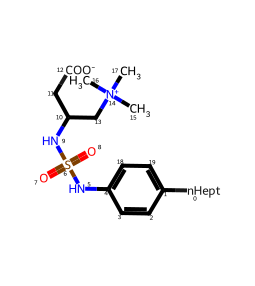 CCCCCCCc1ccc(NS(=O)(=O)NC(CC(=O)[O-])C[N+](C)(C)C)cc1